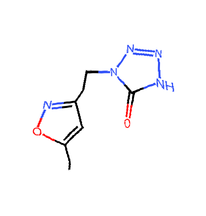 Cc1cc(Cn2nn[nH]c2=O)no1